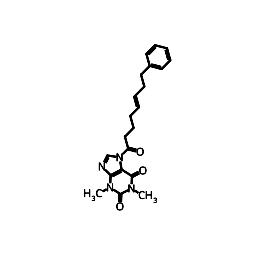 Cn1c(=O)c2c(ncn2C(=O)CCCC=CCCc2ccccc2)n(C)c1=O